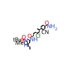 C=C/C=C(\C=C(/CNC(=O)OC(C)(C)C)NC(=O)C/C=C\C(Cl)=C/C(=C)c1ccc(C(N)=O)cc1C#N)OC